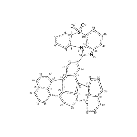 O=S1(=O)c2ccccc2-n2c(-c3ccc4c(-c5cccc6ccccc56)c5ccccc5c(-c5cccc6ccccc56)c4c3)nc3cccc1c32